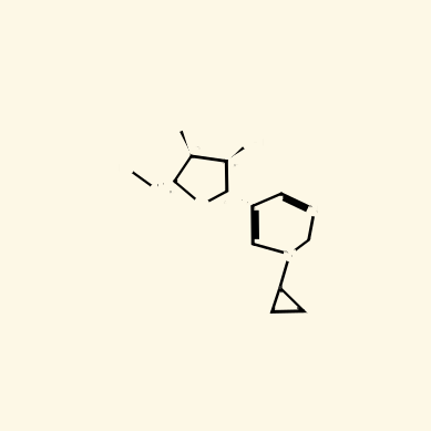 OC[C@H]1O[C@@H](C2=CN(C3CC3)CN=C2)[C@H](O)[C@@H]1O